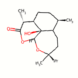 CC(C)[C@]1(C)CCC2[C@H](C)CCC3[C@@H](C)C(=O)O[C@H](O1)[C@@]23O